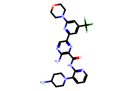 Nc1ncc(-c2cc(C(F)(F)F)cc(N3CCOCC3)n2)nc1C(=O)Nc1ncccc1N1CCC(N)CC1